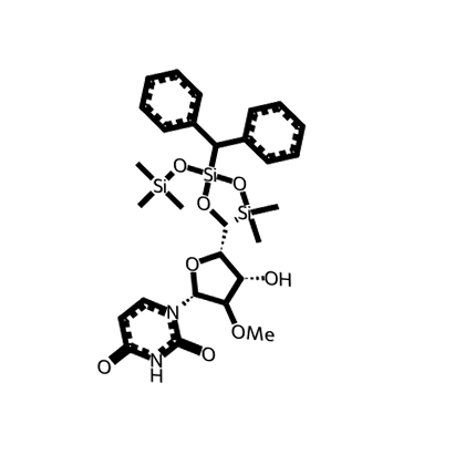 COC1[C@@H](O)[C@@H](CO[Si](O[Si](C)(C)C)(O[Si](C)(C)C)C(c2ccccc2)c2ccccc2)O[C@H]1n1ccc(=O)[nH]c1=O